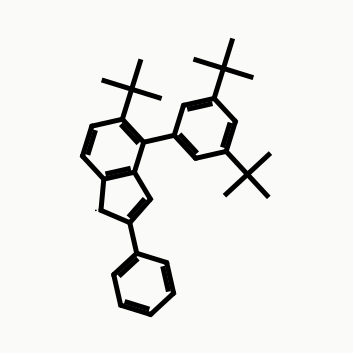 CC(C)(C)c1cc(-c2c(C(C)(C)C)ccc3c2C=C(c2ccccc2)[CH]3)cc(C(C)(C)C)c1